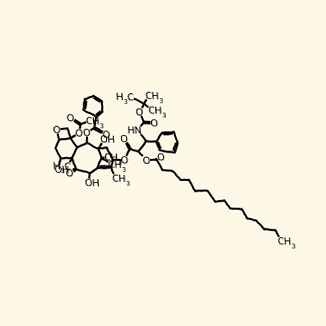 CCCCCCCCCCCCCCCC(=O)OC(C(=O)OC1CC2(O)C(OC(=O)c3ccccc3)C3C4(OC(C)=O)COC4CC(O)C3(C)C(=O)C(O)C(=C1C)C2(C)C)C(NC(=O)OC(C)(C)C)c1ccccc1